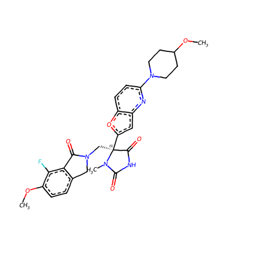 COc1ccc2c(c1F)C(=O)N(C[C@]1(c3cc4nc(N5CCC(OC)CC5)ccc4o3)C(=O)NC(=O)N1C)C2